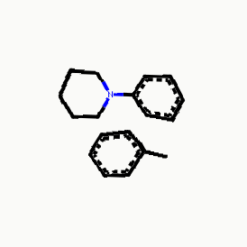 Cc1ccccc1.c1ccc(N2CCCCC2)cc1